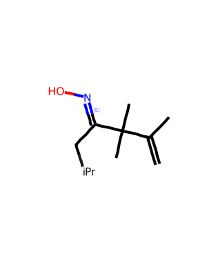 C=C(C)C(C)(C)/C(CC(C)C)=N/O